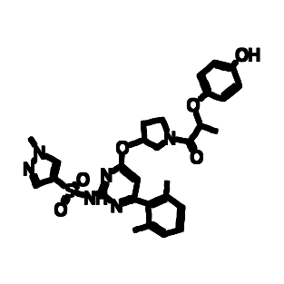 Cc1cccc(C)c1-c1cc(OC2CCN(C(=O)C(C)Oc3ccc(O)cc3)C2)nc(NS(=O)(=O)c2cnn(C)c2)n1